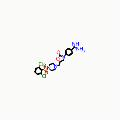 N=C(N)c1ccc(N2CC(CN3CCN(S(=O)(=O)c4c(Cl)cccc4Cl)CC3)OC2=O)cc1